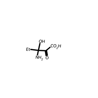 CCC(N)(O)C(=O)C(=O)O